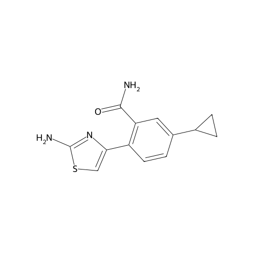 NC(=O)c1cc(C2CC2)ccc1-c1csc(N)n1